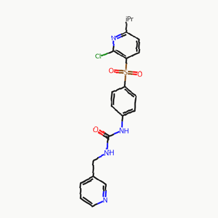 CC(C)c1ccc(S(=O)(=O)c2ccc(NC(=O)NCc3cccnc3)cc2)c(Cl)n1